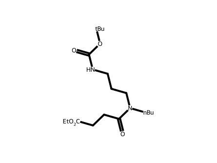 CCCCN(CCCNC(=O)OC(C)(C)C)C(=O)CCC(=O)OCC